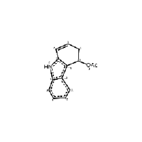 CC(=O)OC1CC=Cc2[nH]c3ccccc3c21